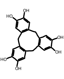 Oc1cc2c(cc1O)Cc1cc(O)c(O)cc1Cc1cc(O)c(O)cc1C2